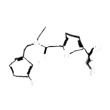 CN(Cc1cccc(Br)c1)C(=O)c1ccc(C(=O)CBr)o1